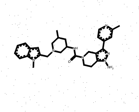 Cc1cc(-c2nn(N)c3c2CN(C(=O)NC2CC(C)CN(Cc4cc5ccccc5n4C)C2)CC3)ccn1